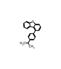 CC(C)c1ccc(-c2cccc3sc4ccccc4c23)cc1